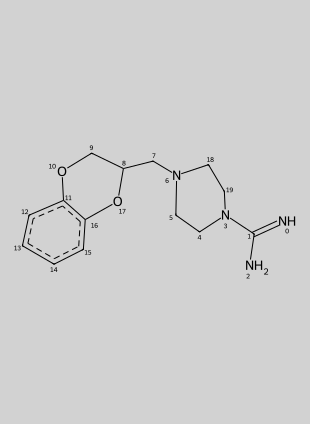 N=C(N)N1CCN(CC2COc3ccccc3O2)CC1